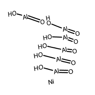 [Ni].[O]=[Al][OH].[O]=[Al][OH].[O]=[Al][OH].[O]=[Al][OH].[O]=[Al][OH].[O]=[Al][OH]